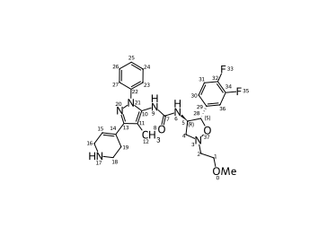 COCCN1C[C@@H](NC(=O)Nc2c(C)c(C3=CCNCC3)nn2-c2ccccc2)[C@H](c2ccc(F)c(F)c2)O1